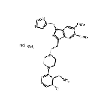 COc1cc2c(CCN3CCN(c4cccc(Cl)c4CN)CC3)nn(Cc3c[nH]cn3)c2cc1OC.Cl.O